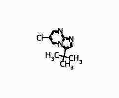 CC(C)(C)c1cnc2ncc(Cl)cn12